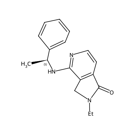 CCN1Cc2c(ccnc2N[C@@H](C)c2ccccc2)C1=O